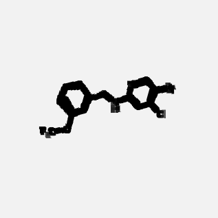 FC(F)(F)Oc1cccc(CNc2cc(Cl)c(Br)cn2)c1